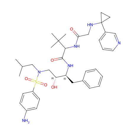 CC(C)CN(C[C@@H](O)[C@H](Cc1ccccc1)NC(=O)C(NC(=O)CNC1(c2cccnc2)CC1)C(C)(C)C)S(=O)(=O)c1ccc(N)cc1